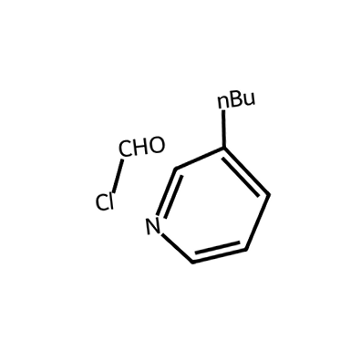 CCCCc1cccnc1.O=CCl